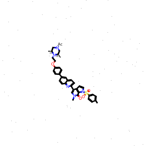 CC(=O)N1C[C@@H](C)N(CCOc2ccc(-c3ccc4nc(-c5cn(C)c(=O)c6c5ccn6S(=O)(=O)c5ccc(C)cc5)ccc4c3)cc2)[C@@H](C)C1